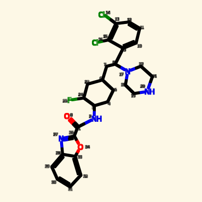 O=C(NC1CCC(CC(c2cccc(Cl)c2Cl)N2CCNCC2)CC1F)c1nc2ccccc2o1